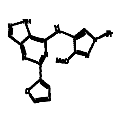 COc1nn(C(C)C)cc1Nc1nc(-c2ccco2)nc2cn[nH]c12